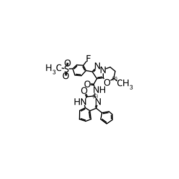 C[C@@H]1CCn2nc(-c3ccc(S(C)(=O)=O)cc3F)c(C(=O)N[C@H]3N=C(c4ccccc4)c4ccccc4NC3=O)c2O1